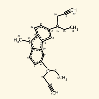 C#CCN(CC)c1ccc2c(c1)c1cc(N(CC)CC#C)ccc1n2C